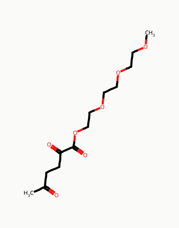 COCCOCCOCCOC(=O)C(=O)CCC(C)=O